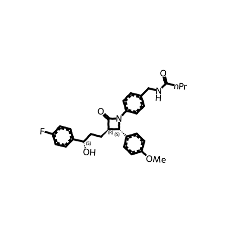 CCCC(=O)NCc1ccc(N2C(=O)[C@H](CC[C@H](O)c3ccc(F)cc3)[C@H]2c2ccc(OC)cc2)cc1